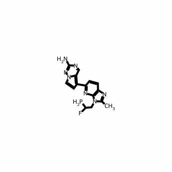 Cc1nc2ccc(-c3ccn4nc(N)ncc34)nc2n1CC(F)P